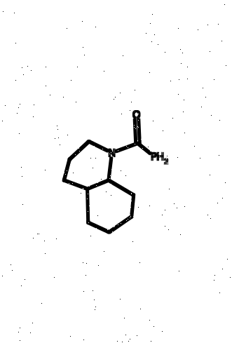 O=C(P)N1CCCC2CCCCC21